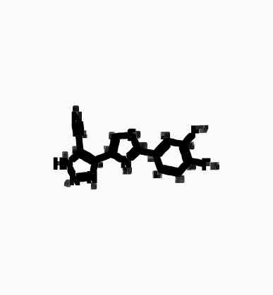 N#Cc1[nH]nnc1-c1csc(-c2ccc(F)c(F)c2)n1